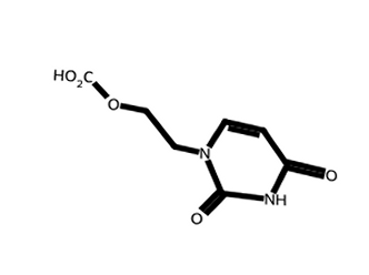 O=C(O)OCCn1ccc(=O)[nH]c1=O